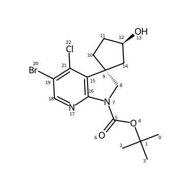 CC(C)(C)OC(=O)N1C[C@@]2(CC[C@@H](O)C2)c2c1ncc(Br)c2Cl